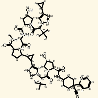 CNC(=O)C1CCC(C2CC2c2cn([C@H](C(=O)N3C[C@H](O)C[C@H]3C(=O)NC3CCC(C#N)(c4ccccn4)CC3)C(C)(C)C)nn2)N1C(=O)CNC(=O)[C@@H]1C[C@@H](O)CN1C(=O)[C@@H](n1cc(C2CC2)nn1)C(C)(C)C